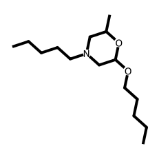 CCCCCOC1CN(CCCCC)CC(C)O1